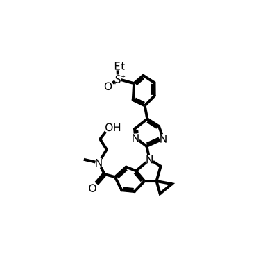 CC[S+]([O-])c1cccc(-c2cnc(N3CC4(CC4)c4ccc(C(=O)N(C)CCO)cc43)nc2)c1